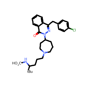 CC(C)(C)C(CCCN1CCCC(n2nc(Cc3ccc(Cl)cc3)c3ccccc3c2=O)CC1)NC(=O)O